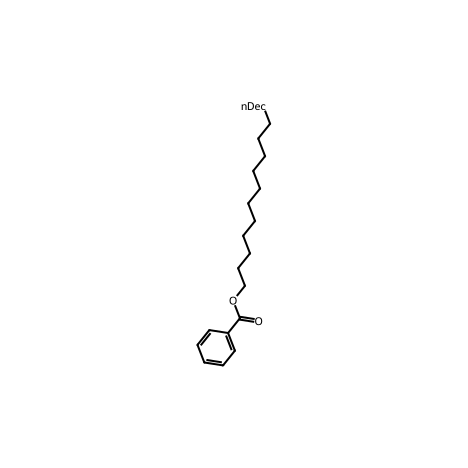 CCCCCCCCCCCCCCCCCCCCCOC(=O)c1ccccc1